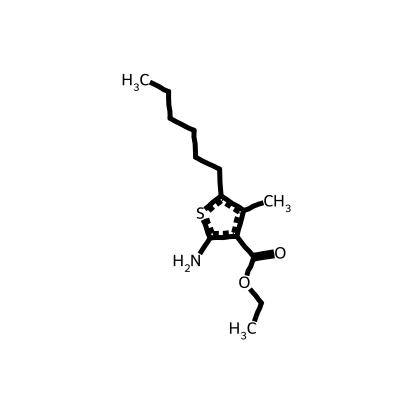 CCCCCCc1sc(N)c(C(=O)OCC)c1C